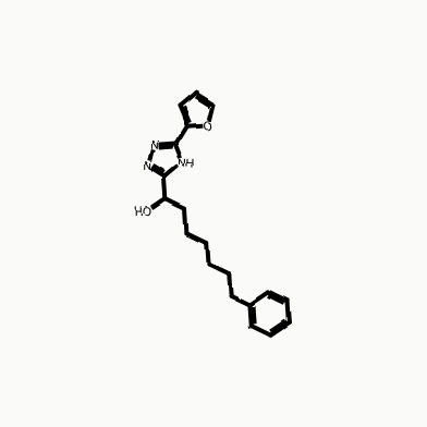 OC(CCCCCCc1ccccc1)c1nnc(-c2ccco2)[nH]1